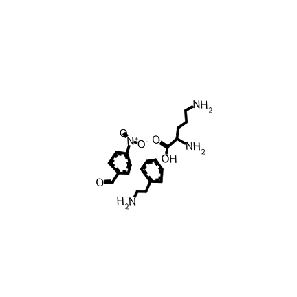 NCCCC(N)C(=O)O.NCCc1ccccc1.O=Cc1ccc([N+](=O)[O-])cc1